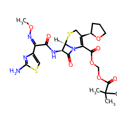 CO/N=C(\C(=O)N[C@@H]1C(=O)N2C(C(=O)OCOC(=O)C(C)(C)C)=C([C@H]3CCCO3)CS[C@H]12)c1csc(N)n1